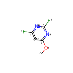 COc1cc(F)nc(F)n1